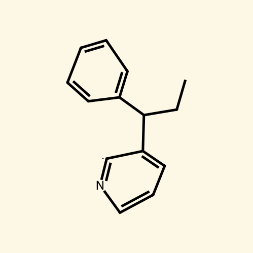 CCC(c1[c]nccc1)c1ccccc1